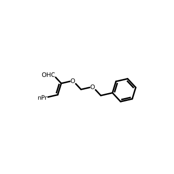 CCCC=C(C=O)OCOCc1ccccc1